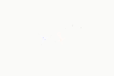 O=P1(CCN2CCCC2)CCCc2ccccc21